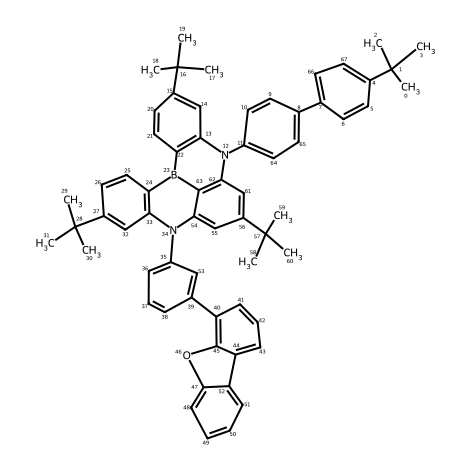 CC(C)(C)c1ccc(-c2ccc(N3c4cc(C(C)(C)C)ccc4B4c5ccc(C(C)(C)C)cc5N(c5cccc(-c6cccc7c6oc6ccccc67)c5)c5cc(C(C)(C)C)cc3c54)cc2)cc1